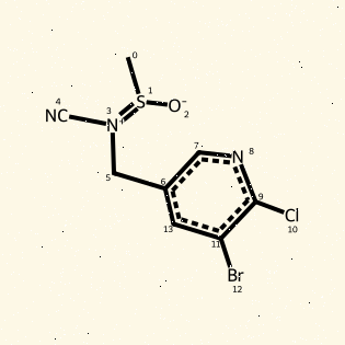 CS([O-])=[N+](C#N)Cc1cnc(Cl)c(Br)c1